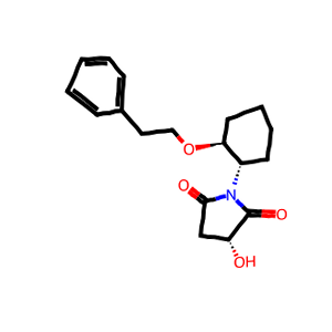 O=C1C[C@@H](O)C(=O)N1[C@H]1CCCC[C@@H]1OCCc1ccccc1